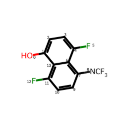 Oc1ccc(F)c2c(NC(F)(F)F)ccc(F)c12